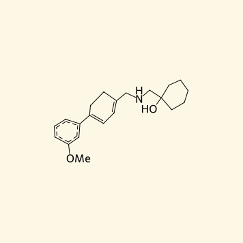 COc1cccc(C2=CC=C(CNCC3(O)CCCCC3)CC2)c1